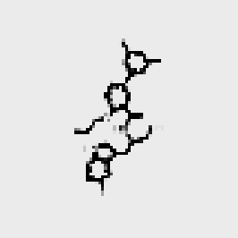 CCCOc1ccc(-c2cc(C)cc(C)c2)cc1C(=O)NC(CO)Cc1c[nH]c2ccc(F)cc12